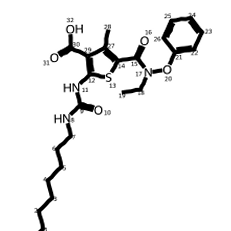 CCCCCCCCNC(=O)Nc1sc(C(=O)N(CC)Oc2ccccc2)c(C)c1C(=O)O